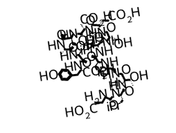 CC(C)C[C@H](NC(=O)CNC(=O)[C@@H](NC(=O)[C@H](CC(C)C)NC(=O)[C@@H](N)CCC(=O)O)[C@@H](C)O)C(=O)N[C@H](C(=O)N[C@@H](CO)C(=O)N[C@@H](CCC(=O)O)C(=O)N[C@@H](CC(=O)O)C(=O)N[C@@H](CO)C(=O)N[C@@H](C)C(=O)N[C@H](C(=O)N[C@@H](Cc1ccc(O)cc1)C(=O)O)C(C)C)[C@@H](C)O